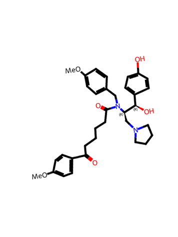 COc1ccc(CN(C(=O)CCCCC(=O)c2ccc(OC)cc2)[C@H](CN2CCCC2)[C@H](O)c2ccc(O)cc2)cc1